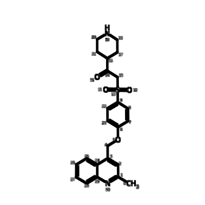 Cc1cc(COc2ccc(S(=O)(=O)CC(=O)C3CCNCC3)cc2)c2ccccc2n1